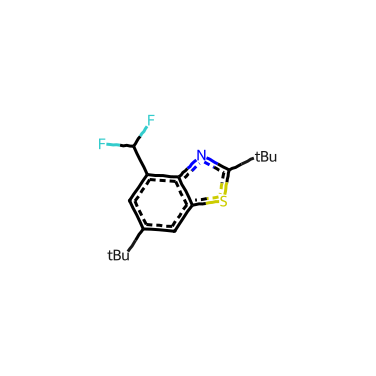 CC(C)(C)c1cc(C(F)F)c2nc(C(C)(C)C)sc2c1